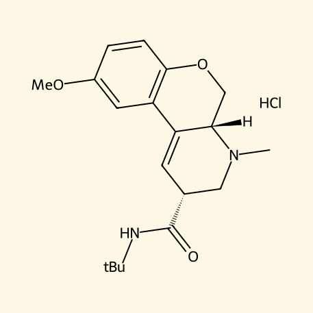 COc1ccc2c(c1)C1=C[C@@H](C(=O)NC(C)(C)C)CN(C)[C@H]1CO2.Cl